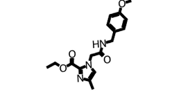 CCOC(=O)c1nc(C)cn1CC(=O)NCc1ccc(OC)cc1